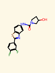 O=C(Nc1ccc2sc(-c3ccc(F)c(F)c3)nc2c1)N1CCC(O)C1